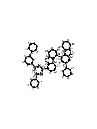 c1ccc(-c2cccc(-c3nc(-c4ccccc4)nc(-c4cccc5c4sc4cccc(-c6cc(-c7ccccc7)cc7oc8ccccc8c67)c45)n3)c2)cc1